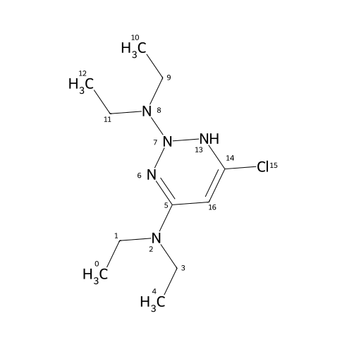 CCN(CC)C1=NN(N(CC)CC)NC(Cl)=C1